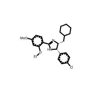 CCOc1cc(OC)ccc1C1=N[C@H](CC2CCCCC2)[C@H](c2ccc(Cl)cc2)N1